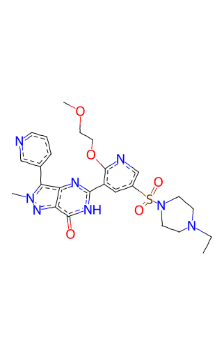 CCN1CCN(S(=O)(=O)c2cnc(OCCOC)c(-c3nc4c(-c5cccnc5)n(C)nc4c(=O)[nH]3)c2)CC1